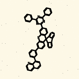 c1ccc(-c2nc(-c3ccccc3)nc(-c3ccc4c(c3)Sc3cc(-c5cccc(-c6cccc7cccnc67)c5)ccc3C43c4ccccc4-c4ccccc43)n2)cc1